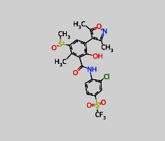 Cc1noc(C)c1-c1cc([S+](C)[O-])c(C)c(C(=O)Nc2ccc(S(=O)(=O)C(F)(F)F)cc2Cl)c1O